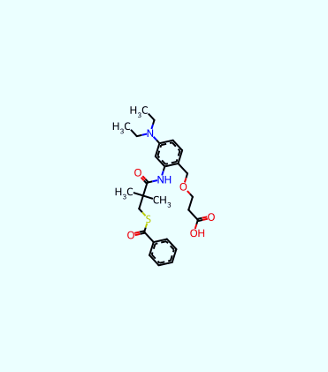 CCN(CC)c1ccc(COCCC(=O)O)c(NC(=O)C(C)(C)CSC(=O)c2ccccc2)c1